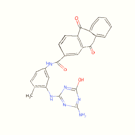 Cc1ccc(NC(=O)c2ccc3c(c2)C(=O)c2ccccc2C3=O)cc1Nc1nc(N)nc(O)n1